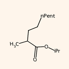 CCCCCCCC(C)C(=O)OC(C)C